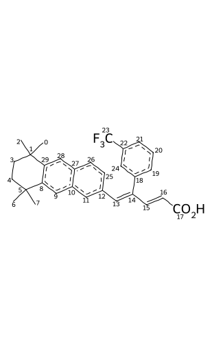 CC1(C)CCC(C)(C)c2cc3cc(/C=C(/C=CC(=O)O)c4cccc(C(F)(F)F)c4)ccc3cc21